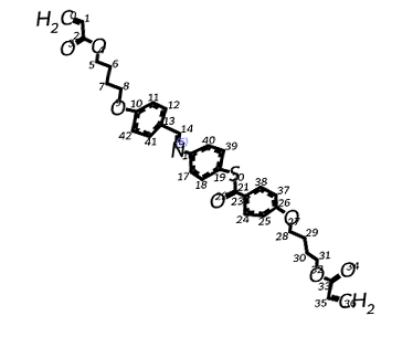 C=CC(=O)OCCCCOc1ccc(/C=N/c2ccc(SC(=O)c3ccc(OCCCCOC(=O)C=C)cc3)cc2)cc1